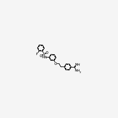 N=C(N)c1ccc(CCOc2cccc(NS(=O)(=O)c3ccccc3F)c2)cc1